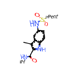 CCCCCS(=O)(=O)Nc1ccc2[nH]c(C(=O)NC(C)C)c(C)c2c1